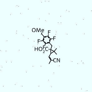 COCc1c(F)c(F)c(C[C@@]2(C(=O)O)C(/C=C(/C)C#N)C2(C)C)c(F)c1F